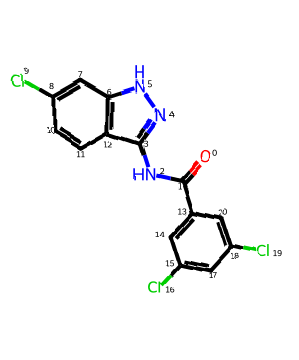 O=C(Nc1n[nH]c2cc(Cl)ccc12)c1cc(Cl)cc(Cl)c1